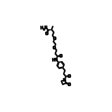 CC(CCOCCOCCC(=O)Nc1ccc(CCC(=O)N2CCC2=O)cc1)C(N)=O